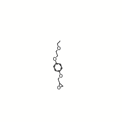 CCOCCOc1ccc(OCC2CO2)cc1